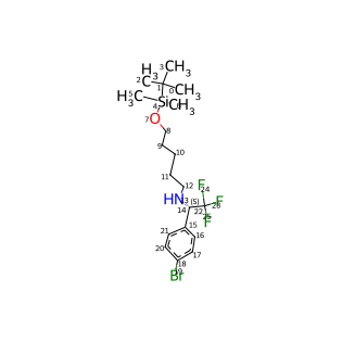 CC(C)(C)[Si](C)(C)OCCCCCN[C@@H](c1ccc(Br)cc1)C(F)(F)F